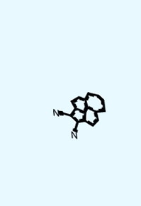 N#Cc1c(C#N)c2ccc3ccccc4ccc1c2c43